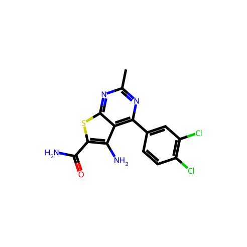 Cc1nc(-c2ccc(Cl)c(Cl)c2)c2c(N)c(C(N)=O)sc2n1